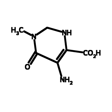 CN1CNC(C(=O)O)=C(N)C1=O